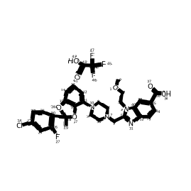 COCCn1c(CN2CCN(c3cccc4c3OC(C)(c3ccc(Cl)cc3F)O4)CC2)nc2ccc(C(=O)O)cc21.O=C(O)C(F)(F)F